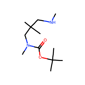 CNCC(C)(C)CN(C)C(=O)OC(C)(C)C